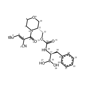 CC(C)(C)C=C(C#N)C(=O)N1CCOC[C@@H]1COC(=O)N[C@@H](Cc1ccccc1)B(O)O